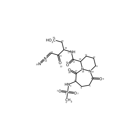 CS(=O)(=O)NC1CCC(=O)N2CCCC(C(=O)NC(CC(=O)O)C(=O)C=[N+]=[N-])N2C1=O